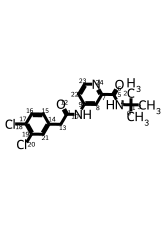 CC(C)(C)NC(=O)c1cc(NC(=O)Cc2ccc(Cl)c(Cl)c2)ccn1